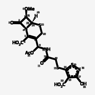 CO[C@@H]1C(=O)N2C(C(=O)O)=C(C(NC(=O)CSc3snc(O)c3C(=O)O)OC(C)=O)CS[C@H]12